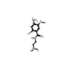 COc1cc(C(=O)NCCN(C)C)c(F)cc1N